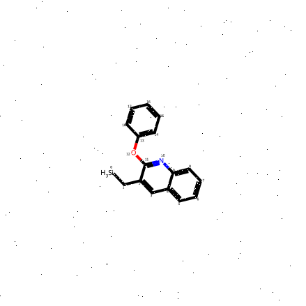 [SiH3]Cc1cc2ccccc2nc1Oc1ccccc1